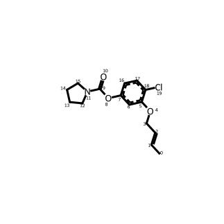 C/C=C/COc1cc(OC(=O)N2CCCC2)ccc1Cl